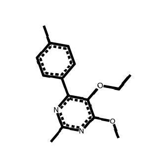 CCOc1c(OC)nc(C)nc1-c1ccc(C)cc1